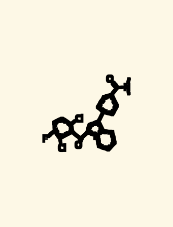 CN(C)C(=O)c1ccc(-c2cc(C(=O)c3c(Cl)ccc(F)c3Cl)n3ccccc23)cc1